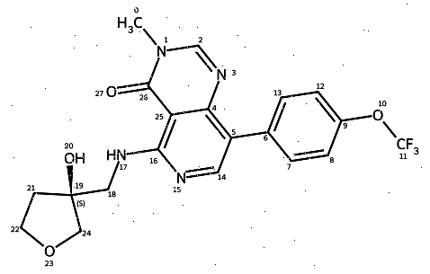 Cn1cnc2c(-c3ccc(OC(F)(F)F)cc3)cnc(NC[C@@]3(O)CCOC3)c2c1=O